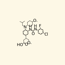 COCC(CC(=O)O)c1ccc(N(CC(C)C)[C@H]2CC[C@H](OC)CC2)c(NC(=O)Nc2ccc(Cl)cc2F)c1